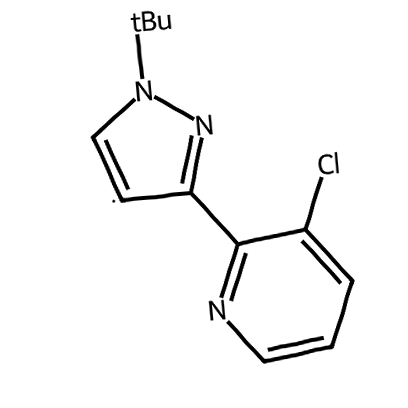 CC(C)(C)n1c[c]c(-c2ncccc2Cl)n1